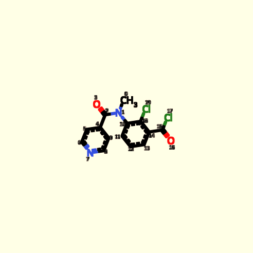 CN(C(=O)c1ccncc1)c1cccc(C(=O)Cl)c1Cl